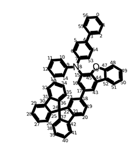 c1ccc(-c2ccc(N(c3ccccc3)c3cc(-c4ccc5c(c4)C4(c6ccccc6-c6ccccc64)c4ccccc4-5)cc4c3oc3ccccc34)cc2)cc1